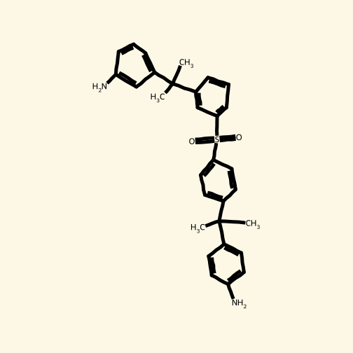 CC(C)(c1ccc(N)cc1)c1ccc(S(=O)(=O)c2cccc(C(C)(C)c3cccc(N)c3)c2)cc1